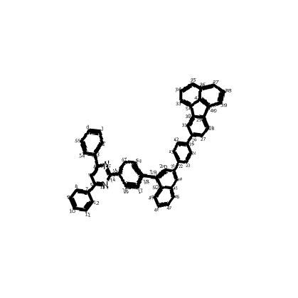 c1ccc(-c2cc(-c3ccccc3)nc(-c3ccc(-c4cc(-c5ccc(-c6ccc7c(c6)-c6cccc8cccc-7c68)cc5)cc5ccccc45)cc3)n2)cc1